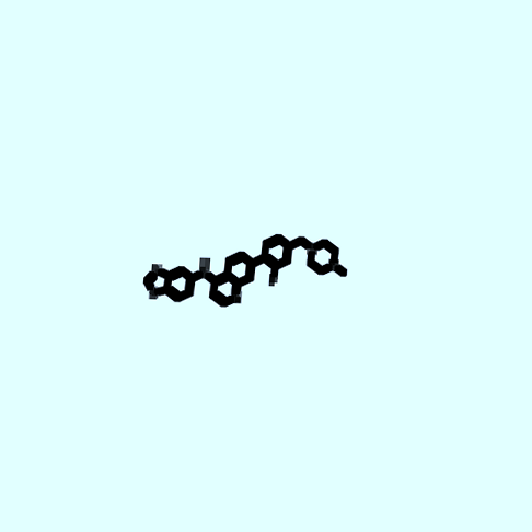 CN1CCN(Cc2ccc(-c3ccc4c(Nc5ccc6scnc6c5)ccnc4c3)c(F)c2)CC1